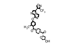 Cc1cc(Oc2nccn3c(-c4conc4C(F)(F)F)cnc23)ccc1C(=O)N1CCN(C(=O)[C@@H]2C[C@@H](O)CO2)CC1